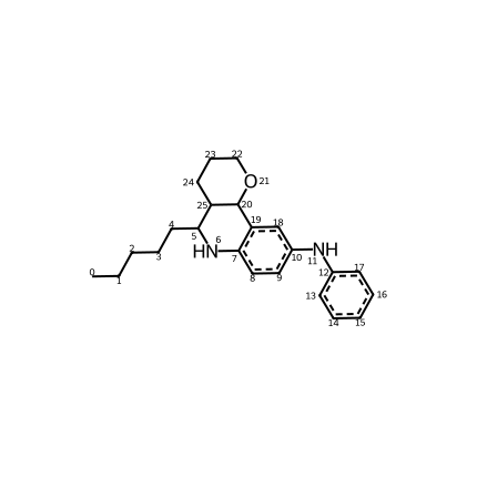 CCCCCC1Nc2ccc(Nc3ccccc3)cc2C2OCCCC12